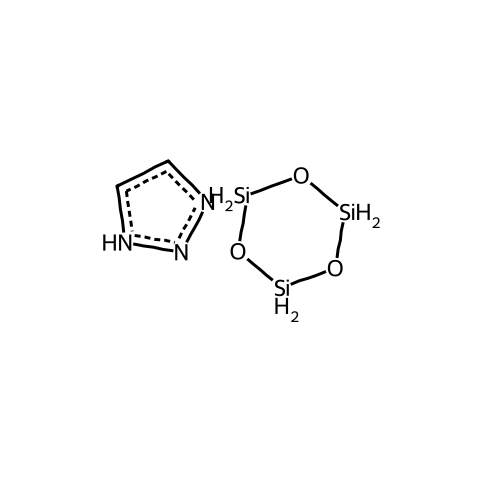 O1[SiH2]O[SiH2]O[SiH2]1.c1c[nH]nn1